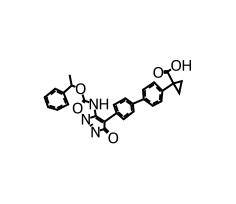 CC(OC(=O)NC1=C(c2ccc(-c3ccc(C4(C(=O)O)CC4)cc3)cc2)C(=O)N=N1)c1ccccc1